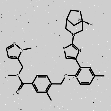 Cc1ccc(OCc2ccc(C(=O)N(C)Cc3ccnn3C)cc2C)c(-c2csc(N3CC4CC[C@@H](C4)C3)n2)c1